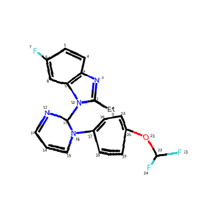 CCc1nc2ccc(F)cc2n1C1N=CC=CN1c1ccc(OC(F)F)cc1